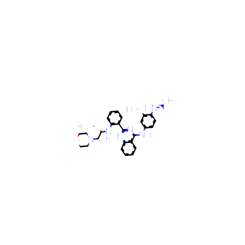 C=NNc1ccc(Nc2nc(-c3ccccc3NC(CN3CCOCC3)OC)nc3ccccc23)cc1C